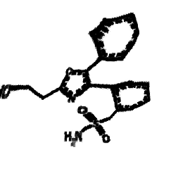 NS(=O)(=O)c1ccccc1-c1nc(CCO)oc1-c1ccccc1